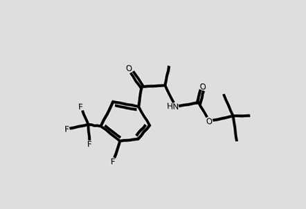 CC(NC(=O)OC(C)(C)C)C(=O)c1ccc(F)c(C(F)(F)F)c1